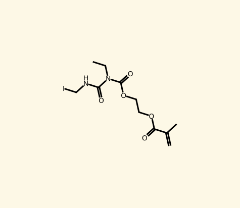 C=C(C)C(=O)OCCOC(=O)N(CC)C(=O)NCI